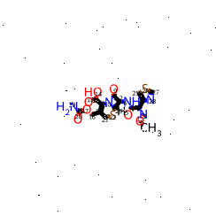 CO/N=C(\C(=O)NC1C(=O)N2C(C(=O)O)=C(COC(N)=O)CS[C@@H]12)c1cscn1